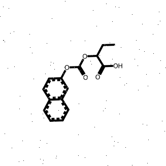 CCC(OC(=O)Oc1ccc2ccccc2c1)C(=O)O